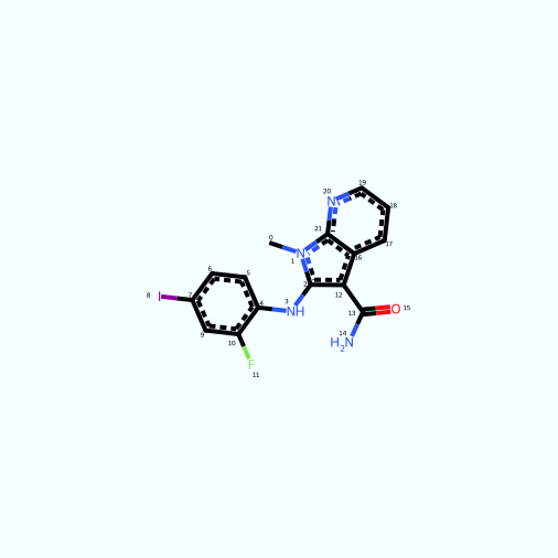 Cn1c(Nc2ccc(I)cc2F)c(C(N)=O)c2cccnc21